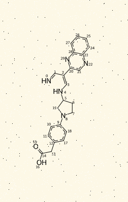 N=C/C(=C\NC1CCN(c2ccc(CC(=O)O)cc2)C1)c1cnc2ccccc2n1